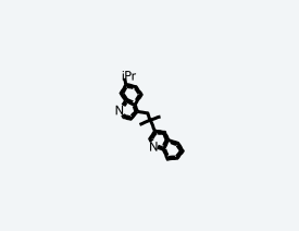 CC(C)c1ccc2c(CC(C)(C)c3cnc4ccccc4c3)ccnc2c1